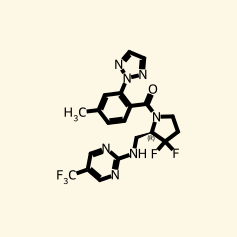 Cc1ccc(C(=O)N2CCC(F)(F)[C@H]2CNc2ncc(C(F)(F)F)cn2)c(-n2nccn2)c1